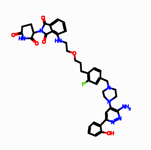 Nc1nnc(-c2ccccc2O)cc1N1CCN(Cc2ccc(CCCOCCNc3cccc4c3C(=O)N(C3CCC(=O)NC3=O)C4=O)c(F)c2)CC1